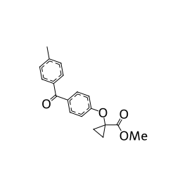 COC(=O)C1(Oc2ccc(C(=O)c3ccc(C)cc3)cc2)CC1